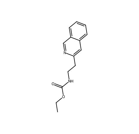 CCOC(=O)NCCc1cc2ccccc2cn1